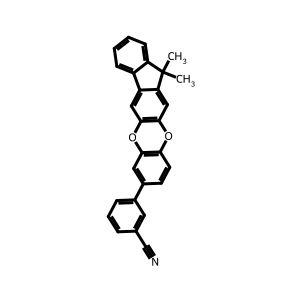 CC1(C)c2ccccc2-c2cc3c(cc21)Oc1ccc(-c2cccc(C#N)c2)cc1O3